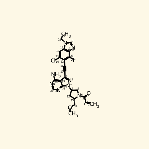 C=CC(=O)N1CC(n2nc(C#Cc3c(Cl)cc4c(ncn4CC)c3F)c3c(N)ncnc32)C[C@@H]1COC